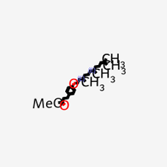 COC(=O)CCc1ccc(OC/C=C(\C)CC/C=C(\C)CCC=C(C)C)cc1